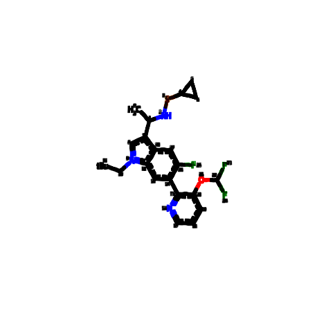 CC(NSC1CC1)c1cn(CC(C)(C)C)c2cc(-c3ncccc3OC(F)F)c(F)cc12